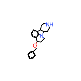 c1ccc(COC2CCN3c4c2cccc4C2CCNCCC23)cc1